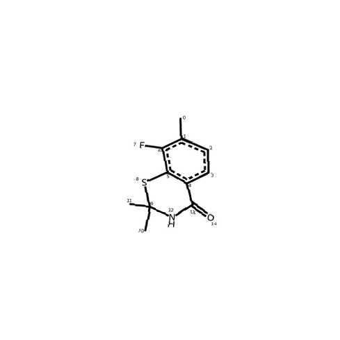 Cc1ccc2c(c1F)SC(C)(C)NC2=O